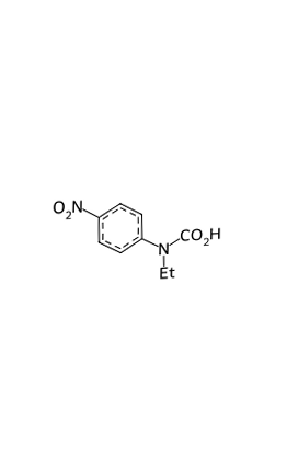 CCN(C(=O)O)c1ccc([N+](=O)[O-])cc1